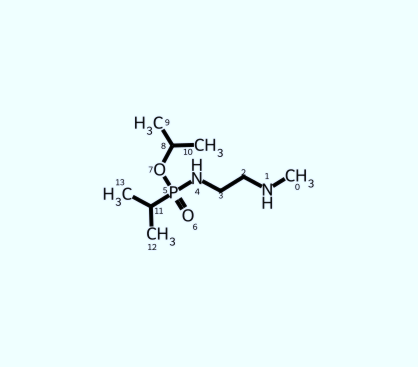 CNCCNP(=O)(OC(C)C)C(C)C